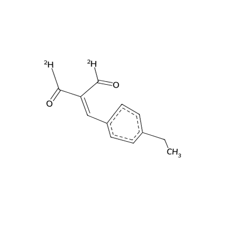 [2H]C(=O)C(=Cc1ccc(CC)cc1)C([2H])=O